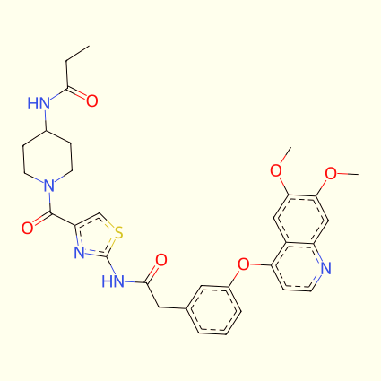 CCC(=O)NC1CCN(C(=O)c2csc(NC(=O)Cc3cccc(Oc4ccnc5cc(OC)c(OC)cc45)c3)n2)CC1